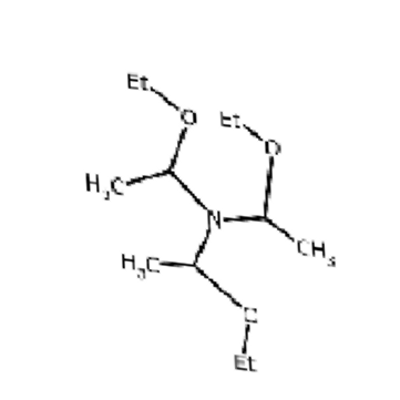 CCOC(C)N(C(C)OCC)C(C)OCC